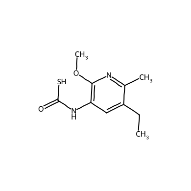 CCc1cc(NC(=O)S)c(OC)nc1C